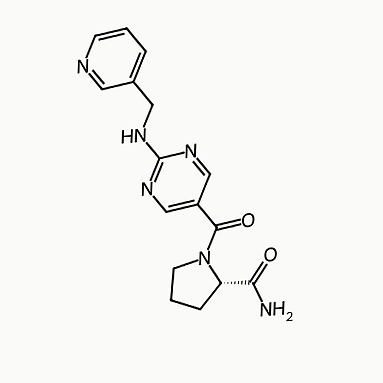 NC(=O)[C@@H]1CCCN1C(=O)c1cnc(NCc2cccnc2)nc1